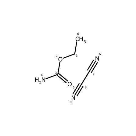 CCOC(N)=O.N#CC#N